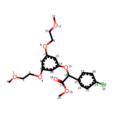 COCCOc1cc(OCCOC)cc(OC(C(=O)OC)c2ccc(Br)cc2)c1